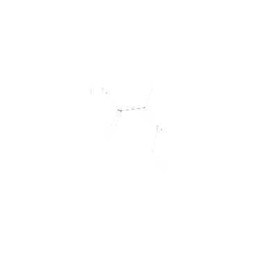 CON=C(C)C(N)=O